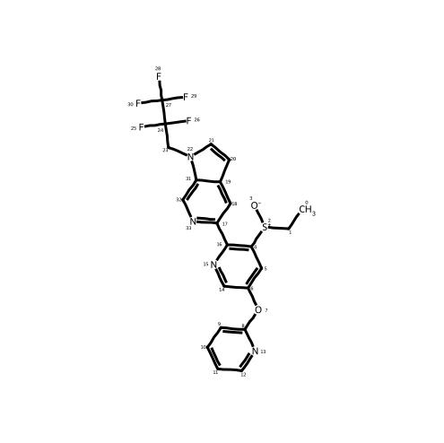 CC[S+]([O-])c1cc(Oc2ccccn2)cnc1-c1cc2ccn(CC(F)(F)C(F)(F)F)c2cn1